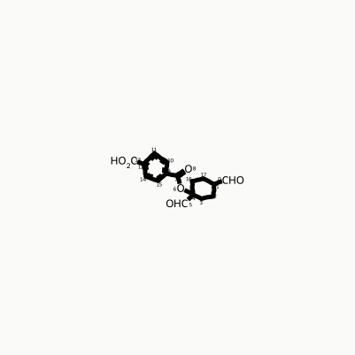 O=CC1CCC(C=O)(OC(=O)c2ccc(C(=O)O)cc2)CC1